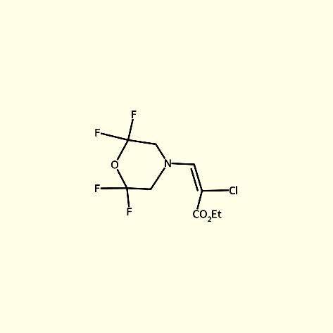 CCOC(=O)/C(Cl)=C\N1CC(F)(F)OC(F)(F)C1